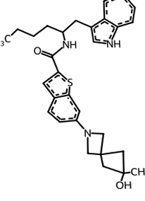 CCCCC(Cc1c[nH]c2ccccc12)NC(=O)c1cc2ccc(N3CC4(C3)CC(C)(O)C4)cc2s1